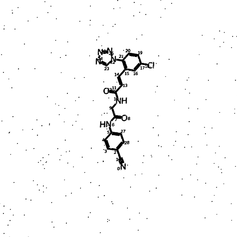 N#Cc1ccc(NC(=O)CNC(=O)/C=C/c2cc(Cl)ccc2-n2cnnn2)cc1